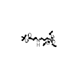 CCO[Si](CCCNCCC(=O)OC(C)(C)C)(OCC)OCC